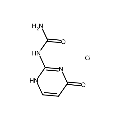 NC(=O)Nc1nc(=O)cc[nH]1.[C]